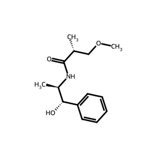 COC[C@@H](C)C(=O)N[C@H](C)[C@@H](O)c1ccccc1